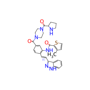 Cc1ccsc1C(=O)Nc1cc(C(=O)N2CCN(C(=O)C3CCCN3)CC2)ccc1/C=C/c1n[nH]c2ccccc12